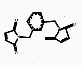 C=C1C=CC(=O)N1Cc1cccc(CN2C(=O)C=CC2=O)c1